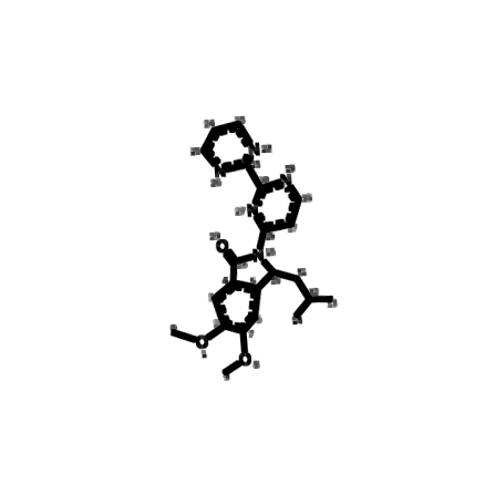 COc1cc2c(cc1OC)C(CC(C)C)N(c1ccnc(-c3ncccn3)n1)C2=O